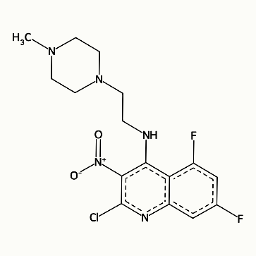 CN1CCN(CCNc2c([N+](=O)[O-])c(Cl)nc3cc(F)cc(F)c23)CC1